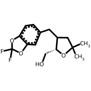 CC1(C)CC(Cc2ccc3c(c2)OC(F)(F)O3)[C@@H](CO)O1